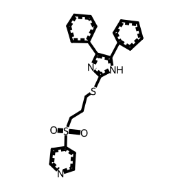 O=S(=O)(CCCSc1nc(-c2ccccc2)c(-c2ccccc2)[nH]1)c1ccncc1